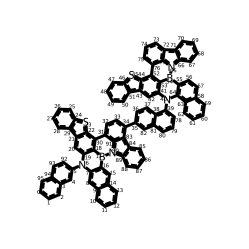 c1ccc2cc(N3c4cc5ccccc5cc4B4c5c3cc3c(sc6ccccc63)c5-c3ccc(-c5ccc6c(N7c8cc9c(sc%10ccccc%109)c9c8B(c8ccc%10ccccc%10c87)n7c8ccccc8c8cccc-9c87)cccc6c5)c5c6ccccc6n4c35)ccc2c1